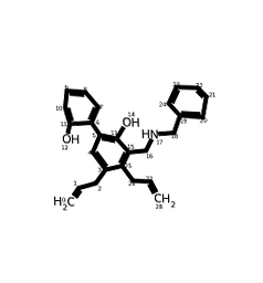 C=CCc1cc(-c2ccccc2O)c(O)c(CNCc2ccccc2)c1CC=C